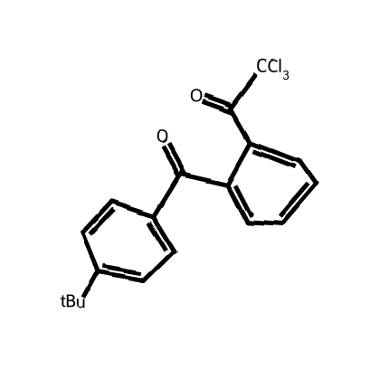 CC(C)(C)c1ccc(C(=O)c2ccccc2C(=O)C(Cl)(Cl)Cl)cc1